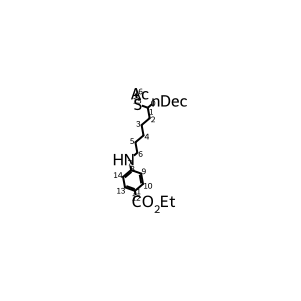 CCCCCCCCCCC(CCCCCNc1ccc(C(=O)OCC)cc1)SC(C)=O